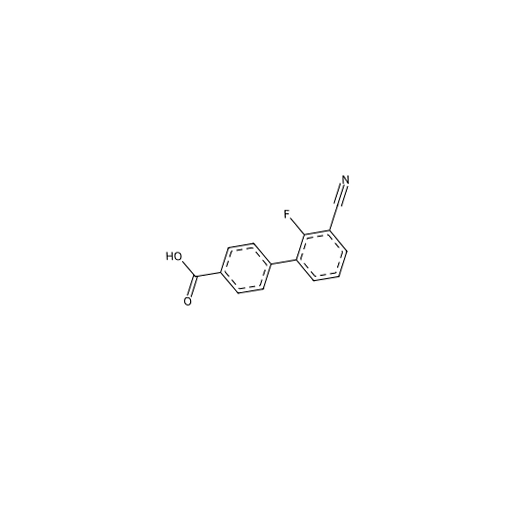 N#Cc1cccc(-c2ccc(C(=O)O)cc2)c1F